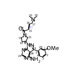 COc1cccc(-c2nn([C@@H]3CCN(C(=O)/C=C/CN(C)C)C3)c3ncnc(N)c23)c1